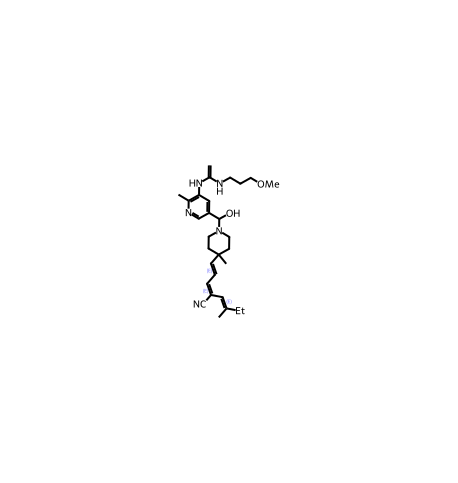 C=C(NCCCOC)Nc1cc(C(O)N2CCC(C)(/C=C/C=C(C#N)\C=C(/C)CC)CC2)cnc1C